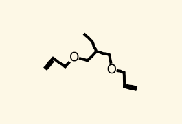 C=CCOCC(CC)COCC=C